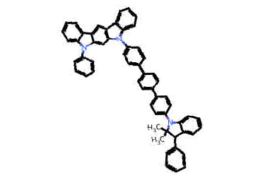 CC1(C)C(c2ccccc2)c2ccccc2N1c1ccc(-c2ccc(-c3ccc(-n4c5ccccc5c5cc6c7ccccc7n(-c7ccccc7)c6cc54)cc3)cc2)cc1